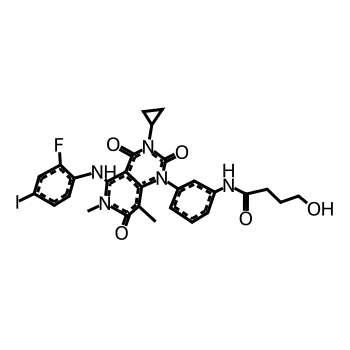 Cc1c(=O)n(C)c(Nc2ccc(I)cc2F)c2c(=O)n(C3CC3)c(=O)n(-c3cccc(NC(=O)CCCO)c3)c12